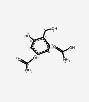 NC(=O)O.NC(=O)O.OCc1ccccc1O